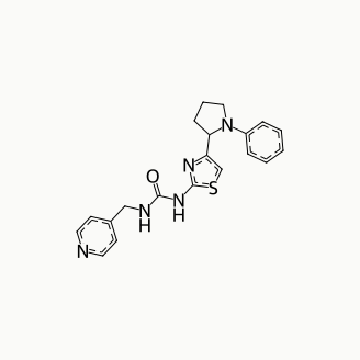 O=C(NCc1ccncc1)Nc1nc(C2CCCN2c2ccccc2)cs1